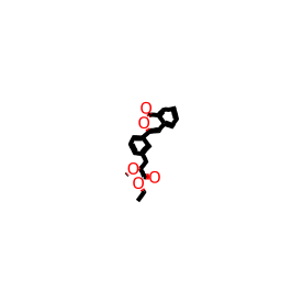 CCOC(=O)C(Cc1cccc(-c2cc3ccccc3c(=O)o2)c1)OC